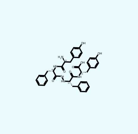 N[C@@H](Cc1ccc(O)cc1)C(=O)N[C@@H](Cc1ccccc1)C(=O)[Se]N[C@@H](Cc1ccccc1)C(=O)N[C@@H](Cc1ccc(O)cc1)C(=O)O